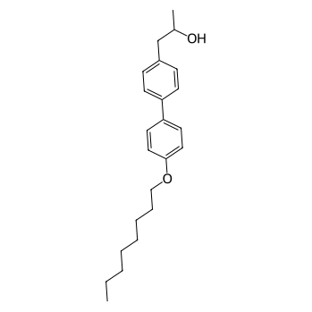 CCCCCCCCOc1ccc(-c2ccc(CC(C)O)cc2)cc1